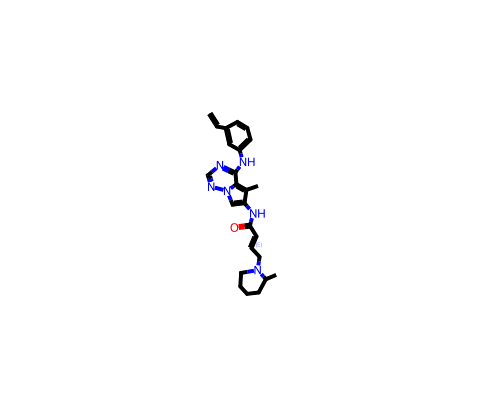 C=Cc1cccc(Nc2ncnn3cc(NC(=O)/C=C/CN4CCCCC4C)c(C)c23)c1